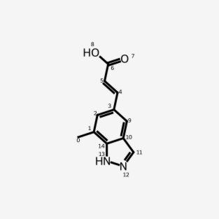 Cc1cc(/C=C/C(=O)O)cc2cn[nH]c12